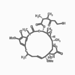 COc1cc2cc(c1Cl)N(C)C(=O)C[C@H](OC(=O)[C@H](C)N(C)C(=O)CCS)[C@]1(C)O[C@H]1[C@H](C)[C@@H]1C[C@@](O)(NC(=O)O1)[C@H](OC)/C=C/CC(C)C2